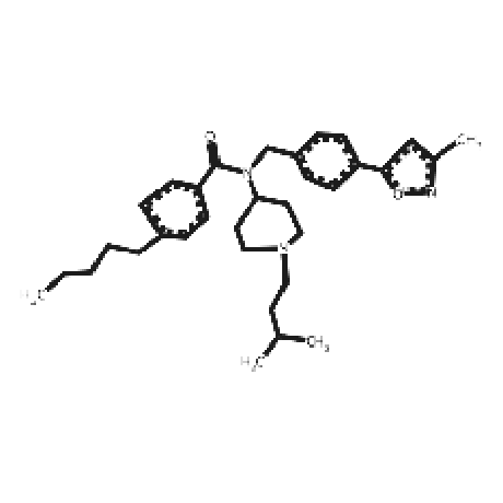 CCCCCc1ccc(C(=O)N(Cc2ccc(-c3cc(C)no3)cc2)C2CCN(CCC(C)C)CC2)cc1